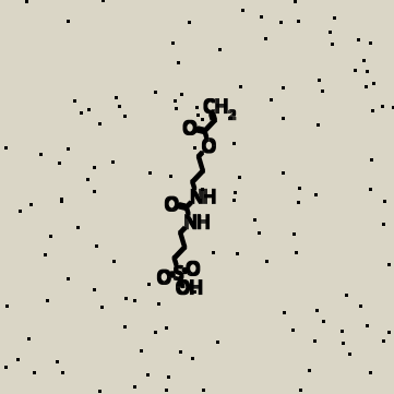 C=CC(=O)OCCCNC(=O)NCCCS(=O)(=O)O